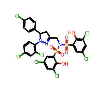 O=S(=O)(c1cc(Cl)cc(Cl)c1O)N(CC1=NN(c2ccc(Cl)cc2Cl)C(c2ccc(Cl)cc2)C1)S(=O)(=O)c1cc(Cl)cc(Cl)c1O